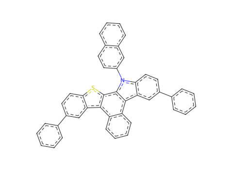 c1ccc(-c2ccc3sc4c(c3c2)c2ccccc2c2c3cc(-c5ccccc5)ccc3n(-c3ccc5ccccc5c3)c42)cc1